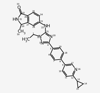 CCn1nc(-c2ccc(-c3ccc(C4CC4)nc3)cc2)nc1Nc1ccc2c(c1)C(C)NC2=O